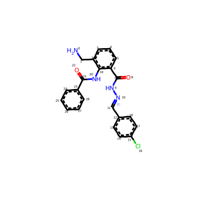 NCc1cccc(C(=O)N/N=C/c2ccc(Cl)cc2)c1NC(=O)c1ccccc1